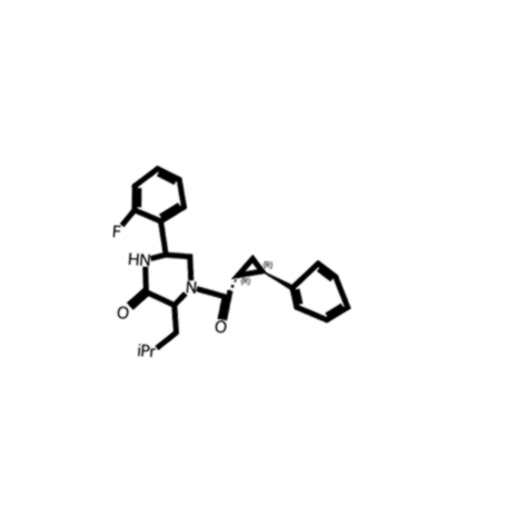 CC(C)CC1C(=O)NC(c2ccccc2F)CN1C(=O)[C@@H]1C[C@H]1c1ccccc1